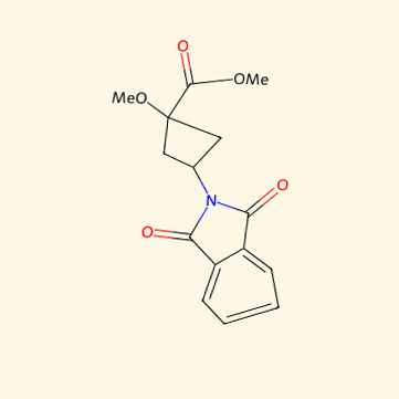 COC(=O)C1(OC)CC(N2C(=O)c3ccccc3C2=O)C1